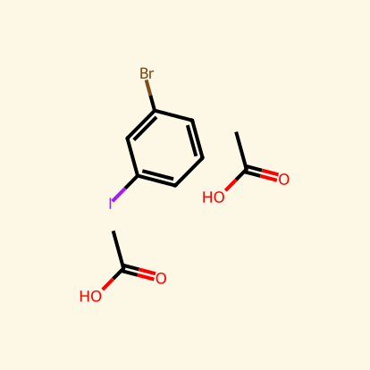 Brc1cccc(I)c1.CC(=O)O.CC(=O)O